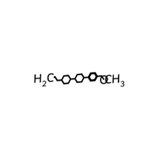 C=CCC1CCC(C2CCC(c3ccc(COC)cc3)CC2)CC1